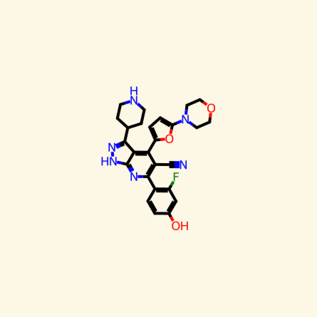 N#Cc1c(-c2ccc(O)cc2F)nc2[nH]nc(C3CCNCC3)c2c1-c1ccc(N2CCOCC2)o1